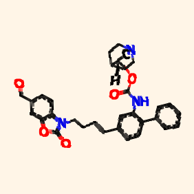 O=Cc1ccc2c(c1)oc(=O)n2CC/C=C/c1ccc(-c2ccccc2)c(NC(=O)O[C@H]2CN3CCC2CC3)c1